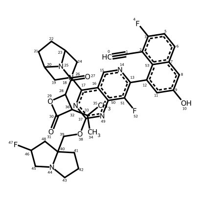 C#Cc1c(F)ccc2cc(O)cc(-c3ncc4c(N5CC6CCC(C5)N6C(=O)C5OC(=O)C5C(C)C)nc(OCC56CCCN5CC(F)C6)nc4c3F)c12